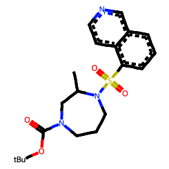 CC1CN(C(=O)OC(C)(C)C)CCCN1S(=O)(=O)c1cccc2cnccc12